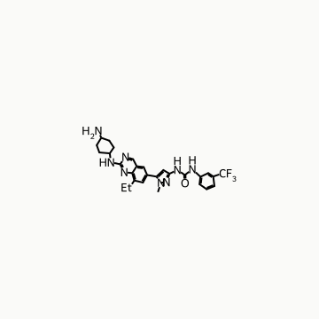 CCc1cc(-c2cc(NC(=O)Nc3cccc(C(F)(F)F)c3)nn2C)cc2cnc(NC3CCC(N)CC3)nc12